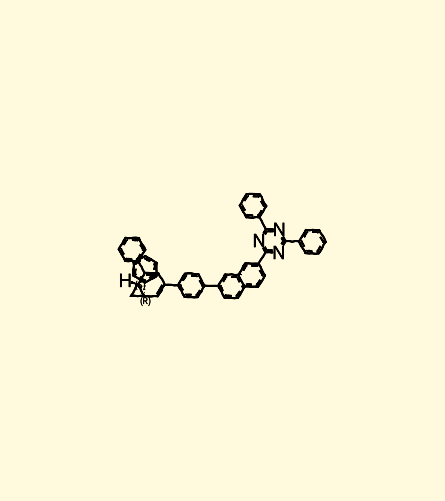 C1=C(c2ccc(-c3ccc4ccc(-c5nc(-c6ccccc6)nc(-c6ccccc6)n5)cc4c3)cc2)C=C(c2ccccc2)[C@H]2C[C@]12c1ccccc1